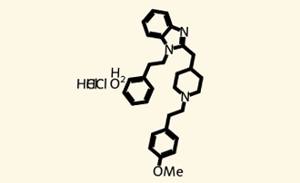 COc1ccc(CCN2CCC(Cc3nc4ccccc4n3CCc3ccccc3)CC2)cc1.Cl.Cl.O